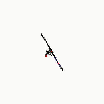 CCCCC/C=C/C/C=C/C/C=C/C/C=C/CCCC(=O)O[C@H](COCCCCCCCCCCCCCCCCCC)COP(=O)([O-])OCC[N+](C)(C)C